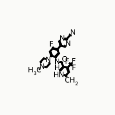 C=C1C=C(C(F)(F)F)C(C(=O)Nc2cc(-c3cnc(C#N)nc3)c(F)cc2N2CCN(C)CC2)=CN1